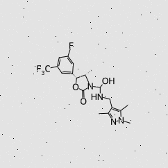 Cc1nn(C)c(C)c1CNC(O)N1C(=O)O[C@H](c2cc(F)cc(C(F)(F)F)c2)[C@@H]1C